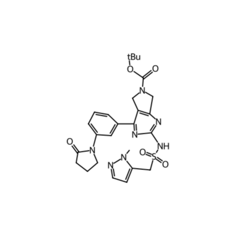 Cn1nccc1CS(=O)(=O)Nc1nc2c(c(-c3cccc(N4CCCC4=O)c3)n1)CN(C(=O)OC(C)(C)C)C2